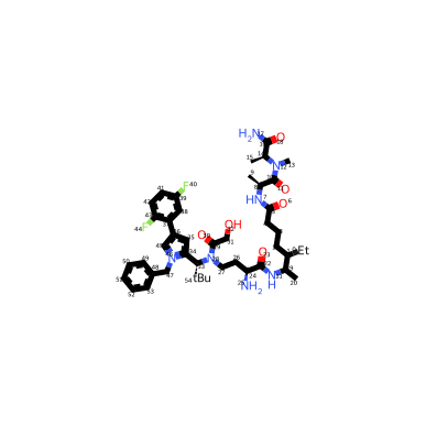 CCC(CCCC(=O)N[C@@H](C)C(=O)N(C)[C@@H](C)C(N)=O)C(C)NC(=O)[C@@H](N)CCN(C(=O)CO)[C@@H](c1cc(-c2cc(F)ccc2F)cn1Cc1ccccc1)C(C)(C)C